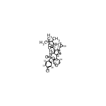 CC(NC(=O)c1c(NS(=O)(=O)c2ccc(Cl)cc2)c(C2CCOCC2)nn1C1CC1)C(C)(C)C